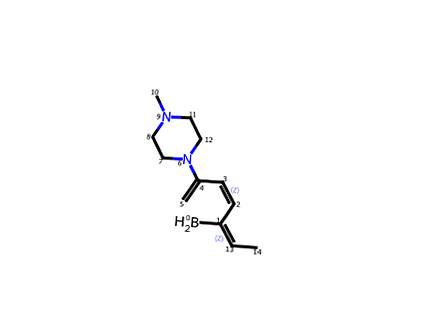 BC(/C=C\C(=C)N1CCN(C)CC1)=C/C